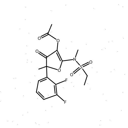 CCS(=O)(=O)N(C)C1=C(OC(C)=O)C(=O)C(C)(c2cccc(F)c2F)O1